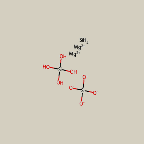 O[Si](O)(O)O.[Mg+2].[Mg+2].[O-][Si]([O-])([O-])[O-].[SiH4]